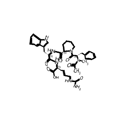 CC(=O)N(C)[C@@H](Cc1ccccc1)C(=O)N1CCCC[C@H]1C(=O)N[C@@H](Cc1c[nH]c2ccccc12)C(=O)N[C@@H](CCCNC(N)=O)C(=O)O